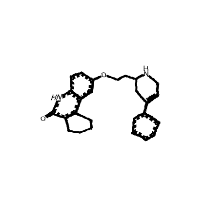 O=c1[nH]c2ccc(OCCC3CC(c4ccccc4)=CCN3)cc2c2c1CCCC2